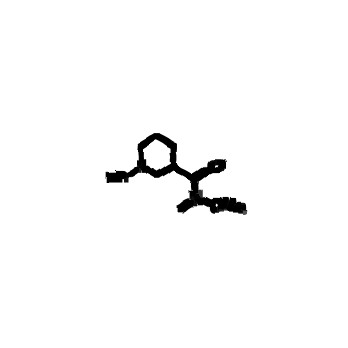 CCCN1CCCC(C(=O)N(C)OC)C1